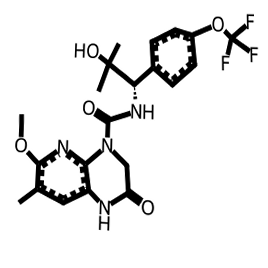 COc1nc2c(cc1C)NC(=O)CN2C(=O)N[C@@H](c1ccc(OC(F)(F)F)cc1)C(C)(C)O